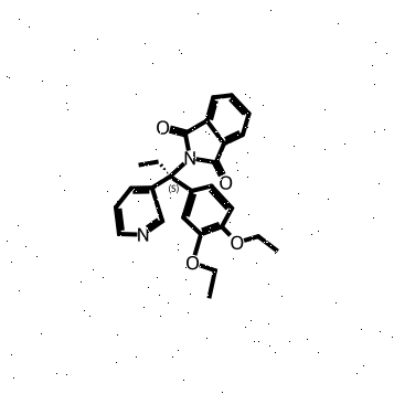 CCOc1ccc([C@@](CC)(c2cccnc2)N2C(=O)c3ccccc3C2=O)cc1OCC